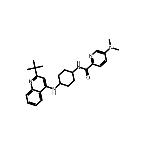 CN(C)c1ccc(C(=O)NC2CCC(Nc3cc(C(C)(C)C)nc4ccccc34)CC2)nc1